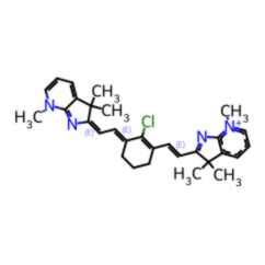 CN1C=CC=C2C1=N/C(=C/C=C1\CCCC(/C=C/C3=Nc4c(ccc[n+]4C)C3(C)C)=C1Cl)C2(C)C